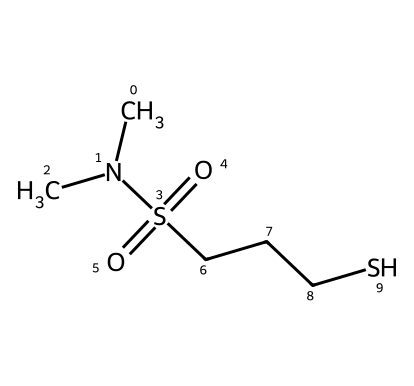 CN(C)S(=O)(=O)CCCS